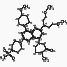 COCCN(CCOC)c1nc(N2CCN(C)C(=O)C2)c2nc(N3CCN(S(C)(=O)=O)CC3)nc(N3CCC(OC)CC3)c2n1